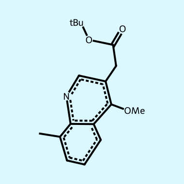 COc1c(CC(=O)OC(C)(C)C)cnc2c(C)cccc12